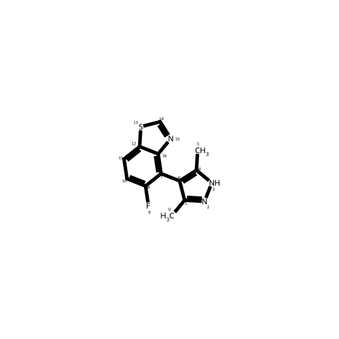 Cc1n[nH]c(C)c1-c1c(F)ccc2scnc12